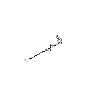 CCCCCCCCCCCCCCNCCCCNCCCC(=O)OC(=O)C(F)(F)F